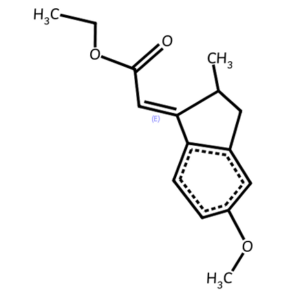 CCOC(=O)/C=C1/c2ccc(OC)cc2CC1C